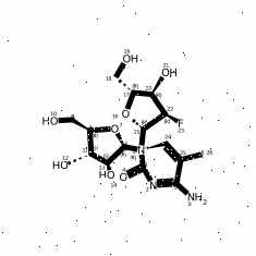 NC1=NC(=O)[N@+]([C@@H]2O[C@H](CO)[C@@H](O)[C@@H]2O)([C@@H]2O[C@H](CO)[C@@H](O)[C@H]2F)C=C1I